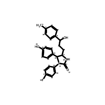 Cc1ccc(C(O)CCC2NC(=O)N(c3ccc(F)cc3)C2c2ccc(O)cc2)cc1